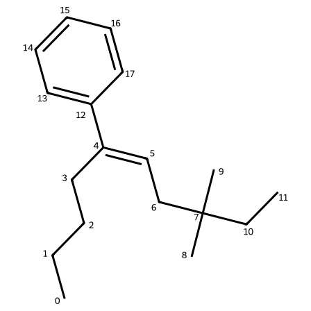 CCCCC(=CCC(C)(C)CC)c1ccccc1